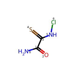 NC(=O)C(=S)NCl